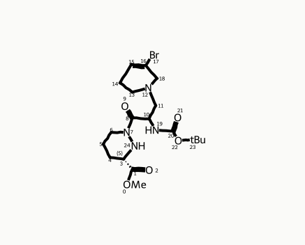 COC(=O)[C@@H]1CCCN(C(=O)C(CN2CCC=C(Br)C2)NC(=O)OC(C)(C)C)N1